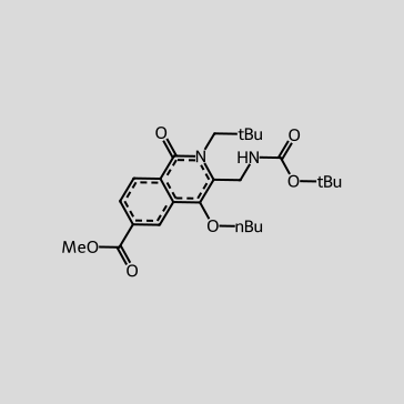 CCCCOc1c(CNC(=O)OC(C)(C)C)n(CC(C)(C)C)c(=O)c2ccc(C(=O)OC)cc12